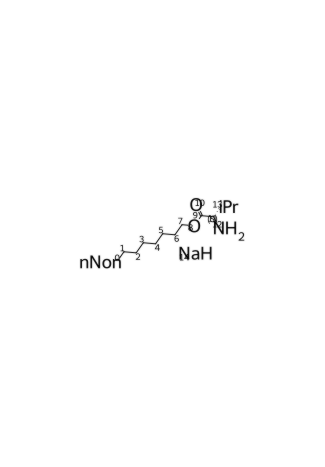 CCCCCCCCCCCCCCCCOC(=O)[C@@H](N)C(C)C.[NaH]